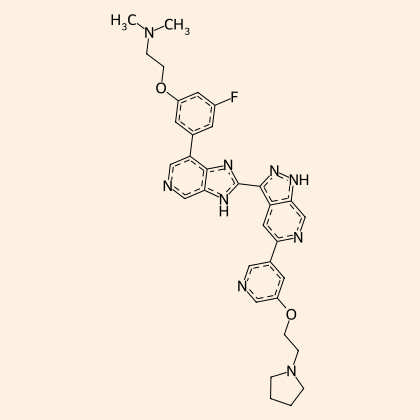 CN(C)CCOc1cc(F)cc(-c2cncc3[nH]c(-c4n[nH]c5cnc(-c6cncc(OCCN7CCCC7)c6)cc45)nc23)c1